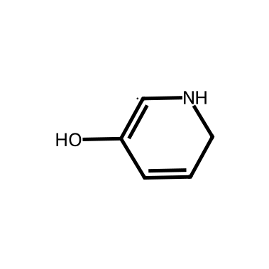 OC1=[C]NCC=C1